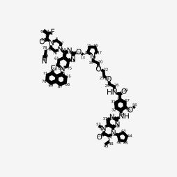 C=C(F)C(=O)N1CCN(c2nc(OC[C@@H]3CCCN3CCOCCOCCNC(=O)c3ccc(Nc4ncc5c(n4)N(C4CCCC4)[C@H](CC)C(=O)N5C)c(OC)c3)nc3c2CCN(c2cccc4cccc(Cl)c24)C3)C[C@@H]1CC#N